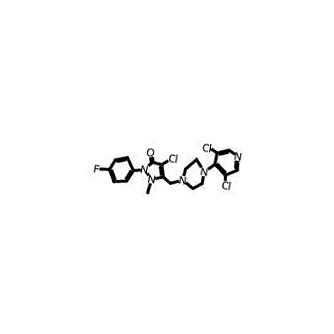 Cn1c(CN2CCN(c3c(Cl)cncc3Cl)CC2)c(Cl)c(=O)n1-c1ccc(F)cc1